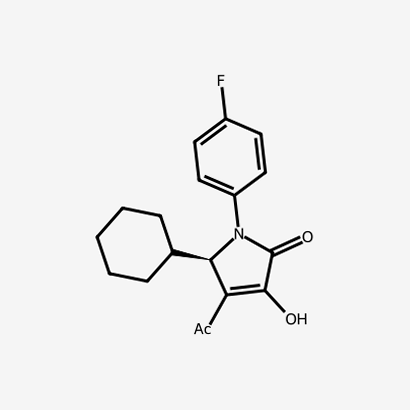 CC(=O)C1=C(O)C(=O)N(c2ccc(F)cc2)[C@@H]1C1CCCCC1